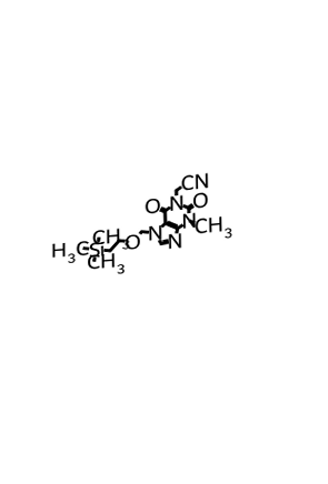 Cn1c(=O)n(CC#N)c(=O)c2c1ncn2COCC[Si](C)(C)C